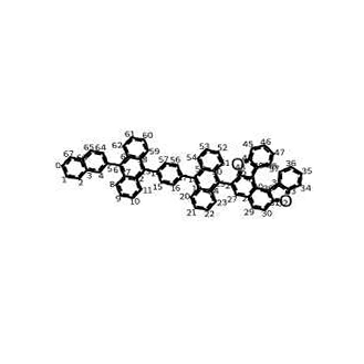 c1ccc2cc(-c3c4ccccc4c(-c4ccc(-c5c6ccccc6c(-c6cc7ccc8oc9ccccc9c8c7c7c6oc6ccccc67)c6ccccc56)cc4)c4ccccc34)ccc2c1